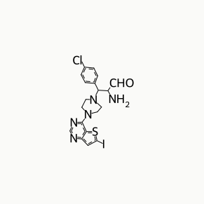 NC(C=O)C(c1ccc(Cl)cc1)N1CCN(c2ncnc3cc(I)sc23)CC1